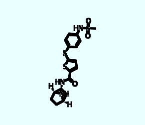 CS(=O)(=O)Nc1ccc(Sc2ccc(C(=O)N[C@@H]3C[C@H]4CC[C@@H]3N4)s2)cc1